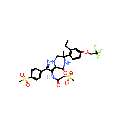 CCc1cc(OCC(F)(F)F)ccc1[C@@]1(C)Cn2nc(-c3ccc(S(C)(=O)=O)cc3)c(NC(=O)CS(C)(=O)=O)c2C(=O)N1